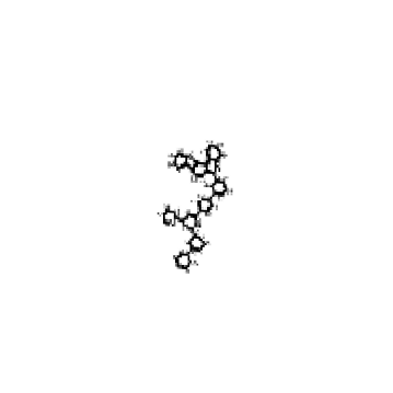 c1ccc(-c2cccc(-c3nc(-c4ccc(-c5cccc(-c6nc7ccccc7c7c6ccc6c8ccccc8sc67)c5)cc4)cc(-c4ccccn4)n3)c2)cc1